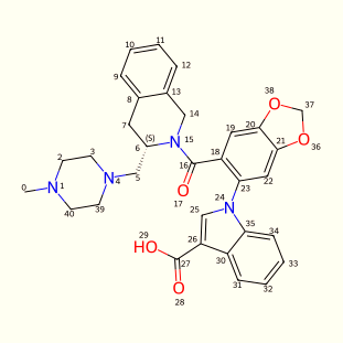 CN1CCN(C[C@@H]2Cc3ccccc3CN2C(=O)c2cc3c(cc2-n2cc(C(=O)O)c4ccccc42)OCO3)CC1